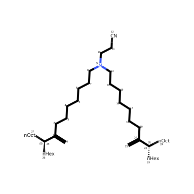 C=C(CCCCCCCN(CCC#N)CCCCCCCC(=C)[C@@H](CCCCCC)CCCCCCCC)[C@@H](CCCCCC)CCCCCCCC